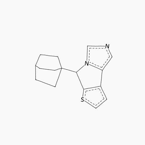 c1cc2c(s1)C(C13CCC(CC1)CC3)n1cncc1-2